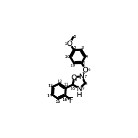 COc1ccc(ON2CNC(c3ccccc3F)O2)cc1